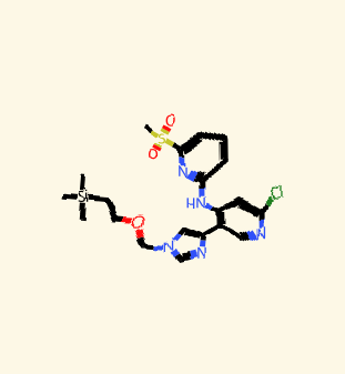 C[Si](C)(C)CCOCn1cnc(-c2cnc(Cl)cc2Nc2cccc(S(C)(=O)=O)n2)c1